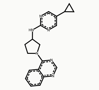 c1ccc2c(N3CCC(Nc4ncc(C5CC5)cn4)C3)ncnc2c1